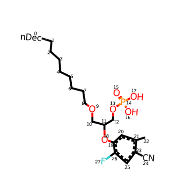 CCCCCCCCCCCCCCCCCCOCC(COP(=O)(O)O)Oc1cc(C)c(C#N)cc1F